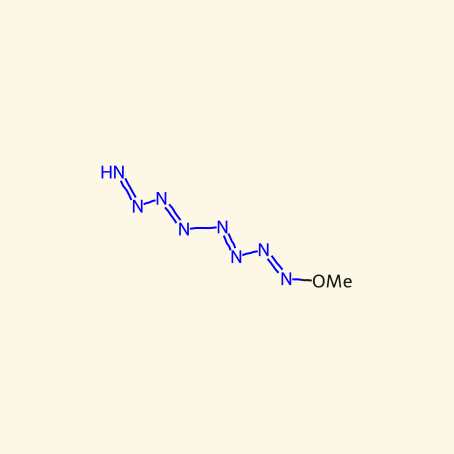 CON=NN=NN=NN=N